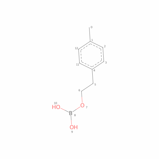 Cc1ccc(CCOB(O)O)cc1